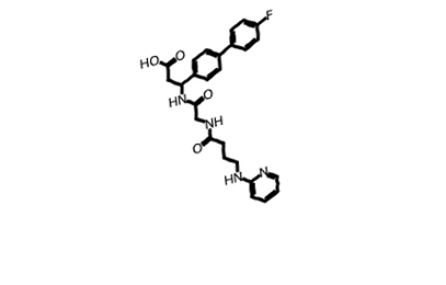 O=C(O)CC(NC(=O)CNC(=O)CCCNc1ccccn1)c1ccc(-c2ccc(F)cc2)cc1